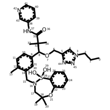 CCCn1cc(COC(c2ccc(C)c(CN3CC(C)(C)Oc4ccccc4S3(O)O)c2)C(C)(C)C(=O)Nc2cccnc2)nn1